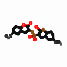 O=c1oc2ccc([N+](=O)[O-])cc2cc1SS(=O)(=O)c1cc2cc([N+](=O)[O-])ccc2sc1=O